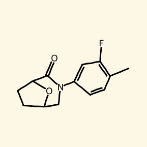 Cc1ccc(N2CC3CCC(O3)C2=O)cc1F